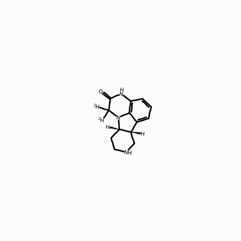 [2H]C1([2H])C(=O)Nc2cccc3c2N1[C@H]1CCNC[C@@H]31